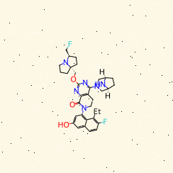 CCc1c(F)ccc2cc(O)cc(N3CCc4c(nc(OC[C@]56CCCN5[C@@H](CF)CC6)nc4N4C[C@H]5CC[C@@H](C4)N5)C3=O)c12